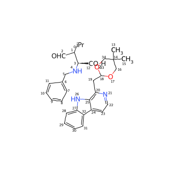 CC(C)C(C=O)[C@H](NCc1ccccc1)C(=O)O.CC1(C)COC(Cc2nccc3c2[nH]c2ccccc23)OC1